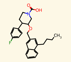 CCCCc1cc(COC2CN(C(=O)O)CCC2c2ccc(F)cc2)cc2ccccc12